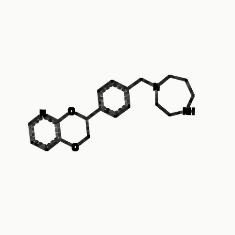 c1cnc2c(c1)OCC(c1ccc(CN3CCCNCC3)cc1)O2